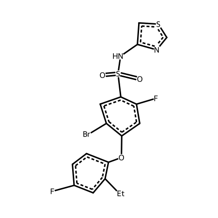 CCc1cc(F)ccc1Oc1cc(F)c(S(=O)(=O)Nc2cscn2)cc1Br